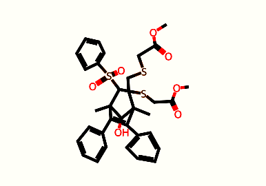 COC(=O)CSCC1(SCC(=O)OC)C(S(=O)(=O)c2ccccc2)C2(C)C(c3ccccc3)=C(c3ccccc3)C1(C)C2O